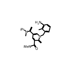 C=C1C(C(=O)NC)=CC(C(=C)N(C)C(C)C)=CN1Cc1cccc(N)c1C